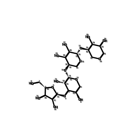 OC[C@@H]1O[C@@H](OC2[C@H](O)CO[C@@H](O[C@@H]3CO[C@@H](O[C@@H]4COCC(O)C4O)C(O)C3O)[C@H]2O)C(O)C1O